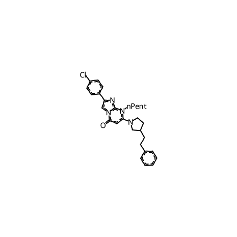 CCCCCn1c(N2CCC(CCc3ccccc3)C2)cc(=O)n2cc(-c3ccc(Cl)cc3)nc12